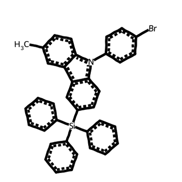 Cc1ccc2c(c1)c1cc([Si](c3ccccc3)(c3ccccc3)c3ccccc3)ccc1n2-c1ccc(Br)cc1